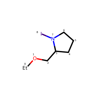 CCOCC1CCCN1I